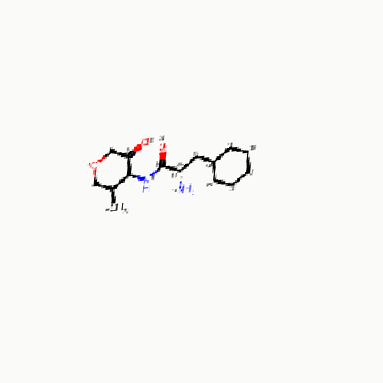 CC1COCC(=O)C1NC(=O)[C@@H](N)CC1CCCCC1